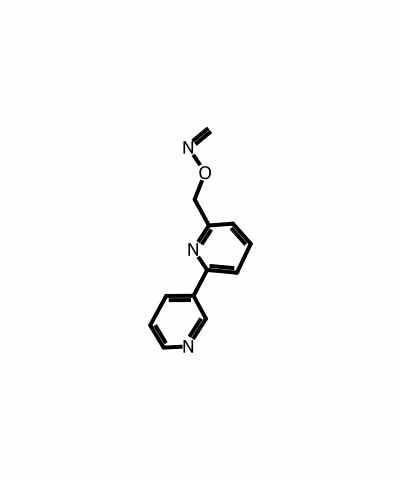 C=NOCc1cccc(-c2cccnc2)n1